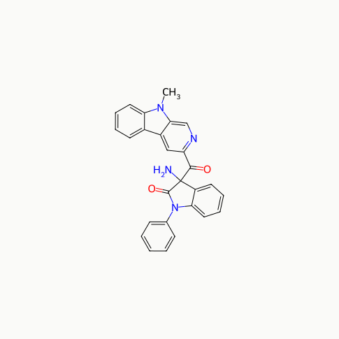 Cn1c2ccccc2c2cc(C(=O)C3(N)C(=O)N(c4ccccc4)c4ccccc43)ncc21